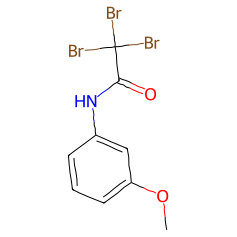 COc1cccc(NC(=O)C(Br)(Br)Br)c1